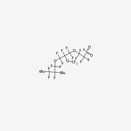 CC(C)(C)C(F)(F)C(F)(C(C)(C)C)C(F)(F)OC(F)(F)C(F)(OC(F)(F)F)C(F)(F)OC(F)(F)C(F)(F)S(=O)(=O)F